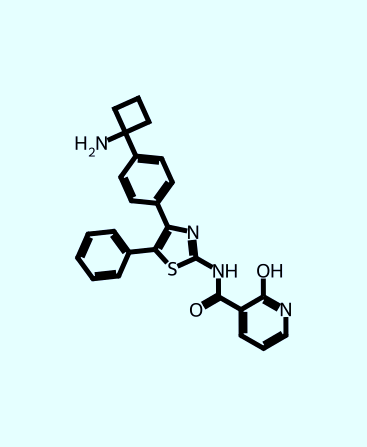 NC1(c2ccc(-c3nc(NC(=O)c4cccnc4O)sc3-c3ccccc3)cc2)CCC1